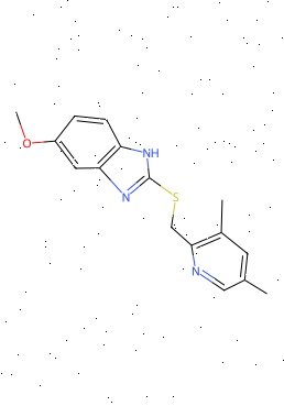 COc1ccc2[nH]c(SCc3ncc(C)cc3C)nc2c1